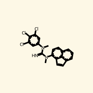 CN(C(=N)N(C)c1ccc2cccc3c2c1C=C3)c1cc(Cl)c(Cl)c(Cl)c1